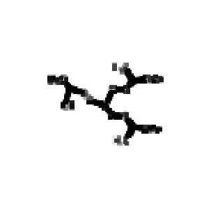 COC(C)OOB(OOC(C)OC)OOC(C)OC